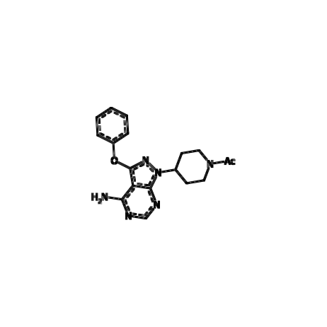 CC(=O)N1CCC(n2nc(Oc3ccccc3)c3c(N)ncnc32)CC1